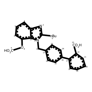 CCCCc1nc2cccc(OC(=O)O)c2n1Cc1ccc(-c2ccccc2C(=O)O)cc1